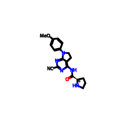 COc1ccc(N2CCc3c(NC(=O)[C@@H]4CCCN4)nc(C#N)nc32)cc1